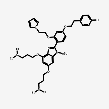 CCCCn1c(-c2ccc(OCCc3ccc(Cl)cc3)cc2OCCn2cccc2)nc2c(OCCCN(CC)CC)cc(OCCCN(CC)CC)cc21